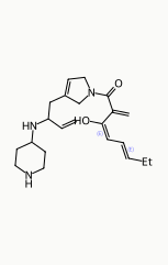 C=CC(CC1=CCN(C(=O)C(=C)/C(O)=C\C=C\CC)C1)NC1CCNCC1